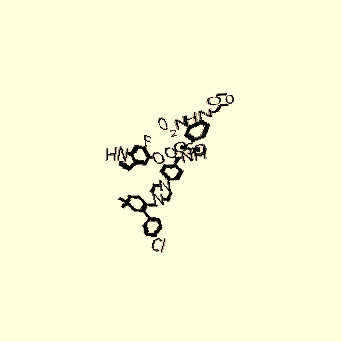 CC1(C)CCC(CN2CCN(c3ccc(C(=O)NS(=O)(=O)c4ccc(NCC5COCCO5)c([N+](=O)[O-])c4)c(Oc4cc5cc[nH]c5cc4F)c3)CC2)=C(c2ccc(Cl)cc2)C1